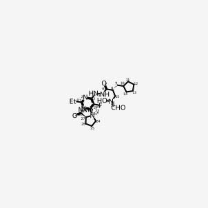 CCc1nc(NNC(=O)[C@H](CC2CCCC2)CN(O)C=O)c(F)c([N+]2(C)CCC[C@H]2C(=O)NC)n1